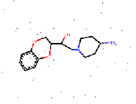 NC1CCN(CC(O)C2COc3ccccc3O2)CC1